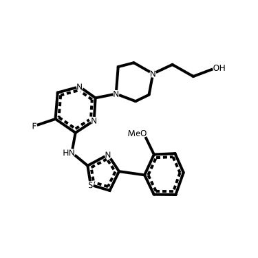 COc1ccccc1-c1csc(Nc2nc(N3CCN(CCO)CC3)ncc2F)n1